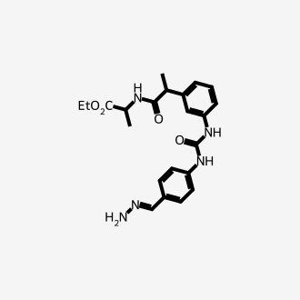 CCOC(=O)C(C)NC(=O)C(C)c1cccc(NC(=O)Nc2ccc(C=NN)cc2)c1